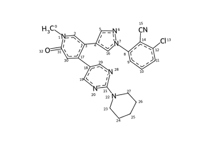 Cn1cc(-c2cnn(-c3cccc(Cl)c3C#N)c2)c(-c2cnc(N3CCCCC3)nc2)cc1=O